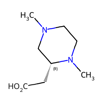 CN1CCN(C)[C@H](CC(=O)O)C1